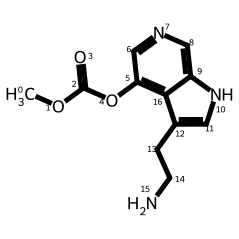 COC(=O)Oc1cncc2[nH]cc(CCN)c12